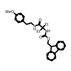 CCC(CC)(NC(=O)OCC1c2ccccc2-c2ccccc21)C(=O)NCCc1ccc(OC)cc1